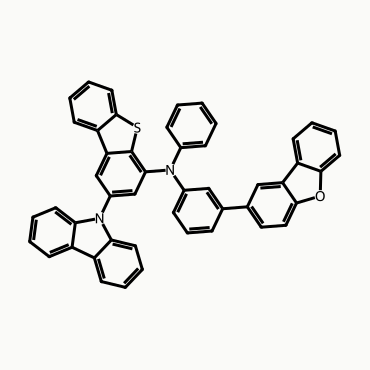 c1ccc(N(c2cccc(-c3ccc4oc5ccccc5c4c3)c2)c2cc(-n3c4ccccc4c4ccccc43)cc3c2sc2ccccc23)cc1